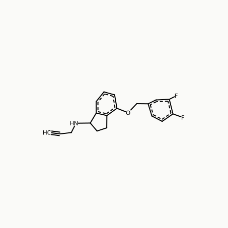 C#CCNC1CCc2c(OCc3ccc(F)c(F)c3)cccc21